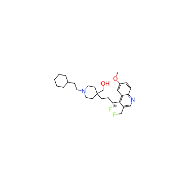 COc1ccc2ncc(CF)c([C@H](F)CCC3(CO)CCN(CCC4CCCCC4)CC3)c2c1